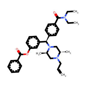 C=CCN1C[C@@H](C)N([C@H](c2ccc(C(=O)N(CC)CC)cc2)c2cccc(OC(=O)c3ccccc3)c2)C[C@@H]1C